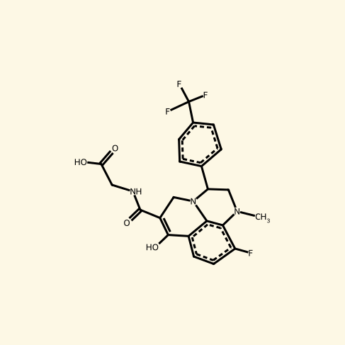 CN1CC(c2ccc(C(F)(F)F)cc2)N2CC(C(=O)NCC(=O)O)=C(O)c3ccc(F)c1c32